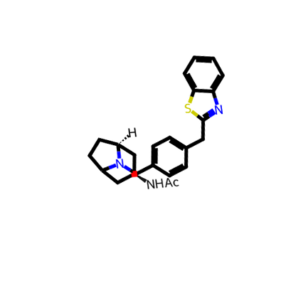 CC(=O)N[C@H]1CC2CC[C@@H](C1)N2Cc1ccc(Cc2nc3ccccc3s2)cc1